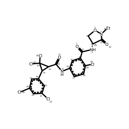 CCN1OC[C@@H](NC(=O)c2cc(NC(=O)C3C(c4cc(Cl)cc(Cl)c4)C3(Cl)Cl)ccc2Cl)C1=O